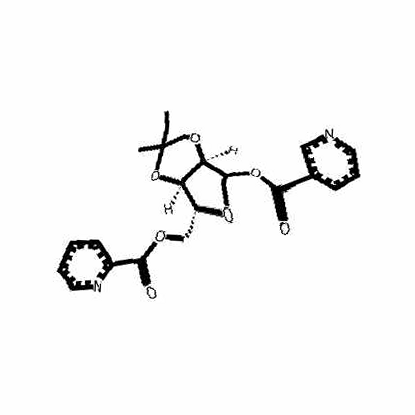 CC1(C)O[C@@H]2[C@@H](COC(=O)c3ccccn3)OC(OC(=O)c3cccnc3)[C@@H]2O1